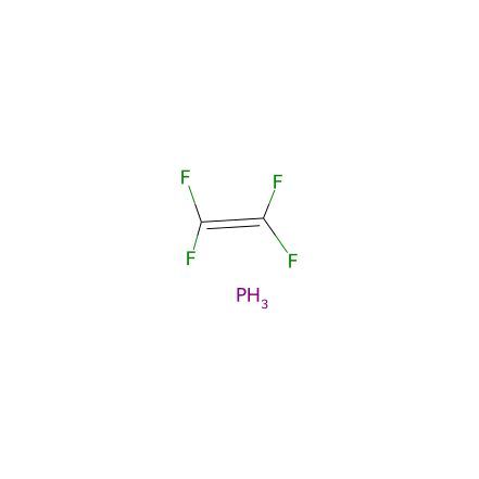 FC(F)=C(F)F.P